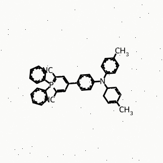 CC1=CCC(N(c2ccc(C)cc2)c2ccc(C3=CC(C#N)=P(c4ccccc4)(c4ccccc4)C(C#N)=C3)cc2)C=C1